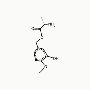 COc1ccc(COC(=O)[C@H](C)N)cc1O